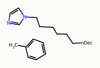 CCCCCCCCCCCCCCCCn1ccnc1.Cc1ccccc1